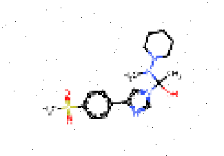 CN(N1CCCCC1)C(C)(O)n1cnc(-c2ccc(S(C)(=O)=O)cc2)c1